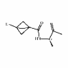 C=C(C)[C@@H](C)NC(=O)C12CC(Cl)(C1)C2